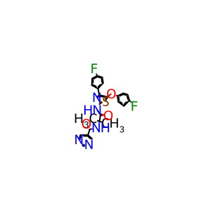 CC(C)(NC(=O)c1cncnc1)C(=O)Nc1nc(-c2ccc(F)cc2)c(Oc2ccc(F)cc2)s1